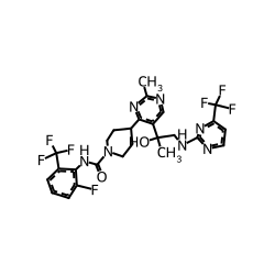 Cc1ncc(C(C)(O)CNc2nccc(C(F)(F)F)n2)c(C2CCN(C(=O)Nc3c(F)cccc3C(F)(F)F)CC2)n1